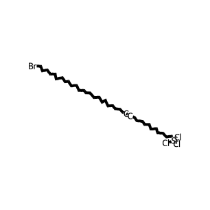 Cl[Si](Cl)(Cl)CCCCCCCCCCCCCCCCCCCCCCCCCCCCCCCCCCCCCBr